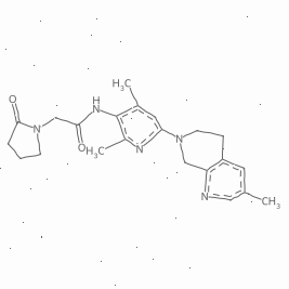 Cc1cnc2c(c1)CCN(c1cc(C)c(NC(=O)CN3CCCC3=O)c(C)n1)C2